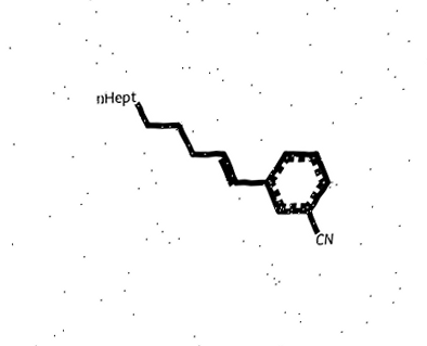 CCCCCCCCCC/C=C/c1cc[c]c(C#N)c1